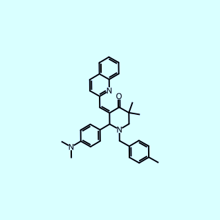 Cc1ccc(CN2CC(C)(C)C(=O)C(=Cc3ccc4ccccc4n3)C2c2ccc(N(C)C)cc2)cc1